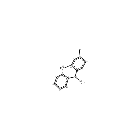 Cc1ccc(C(N)c2ccccc2)c(C(F)(F)F)c1